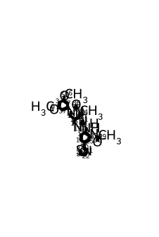 COc1cc(OC)cc(N2Cc3cnc(Nc4ccc(-c5nccs5)cc4NC(C)=O)nc3N(C)C2=O)c1